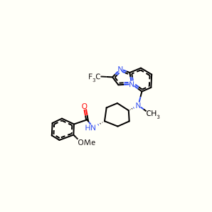 COc1ccccc1C(=O)N[C@H]1CC[C@@H](N(C)c2cccc3nc(C(F)(F)F)cn23)CC1